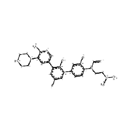 Cc1ncc(-c2cc(F)cc(-c3ccc(N(C=O)CCN(C)C)c(Cl)c3)c2O)cc1N1CCNCC1